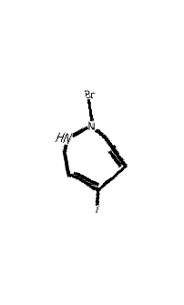 BrN1C=CC(I)=CN1